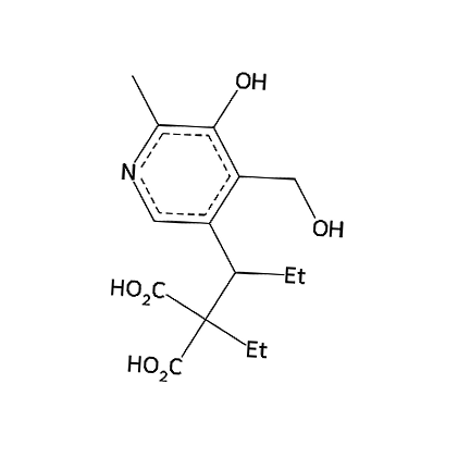 CCC(c1cnc(C)c(O)c1CO)C(CC)(C(=O)O)C(=O)O